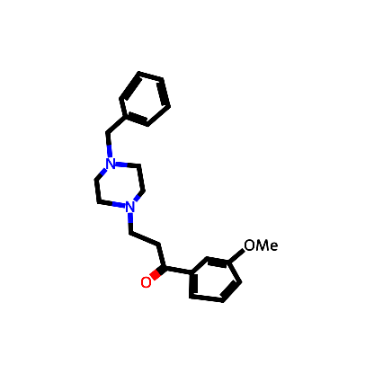 COc1cccc(C(=O)CCN2CCN(Cc3ccccc3)CC2)c1